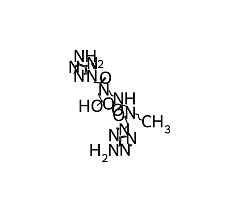 CCCN(CC(=O)NCCN(CC(=O)O)C(=O)Cn1cnc2c(N)ncnc21)C(=O)Cn1cnc2c(N)ncnc21